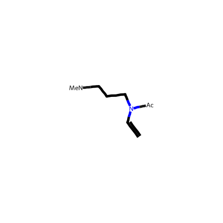 C=CN(CCCNC)C(C)=O